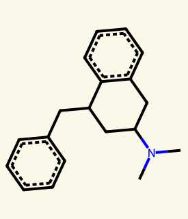 CN(C)C1Cc2ccccc2C(Cc2ccccc2)C1